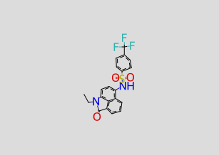 CCN1C(=O)c2cccc3c(NS(=O)(=O)c4ccc(C(F)(F)F)cc4)ccc1c23